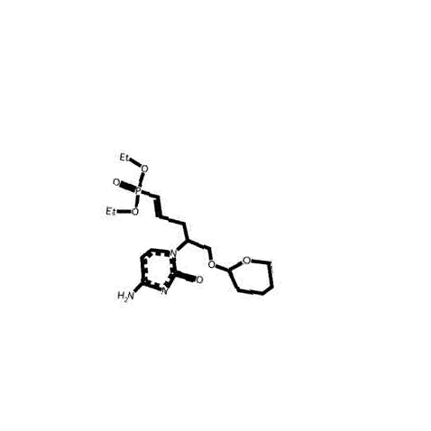 CCOP(=O)(C=CCC(COC1CCCCO1)n1ccc(N)nc1=O)OCC